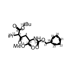 COC(=O)C(CC(=O)C(C(=O)OC(C)(C)C)C(C)C)NC(=O)OCc1ccccc1